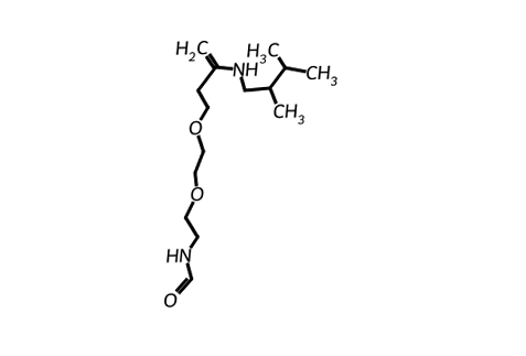 C=C(CCOCCOCCNC=O)NCC(C)C(C)C